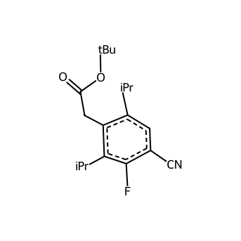 CC(C)c1cc(C#N)c(F)c(C(C)C)c1CC(=O)OC(C)(C)C